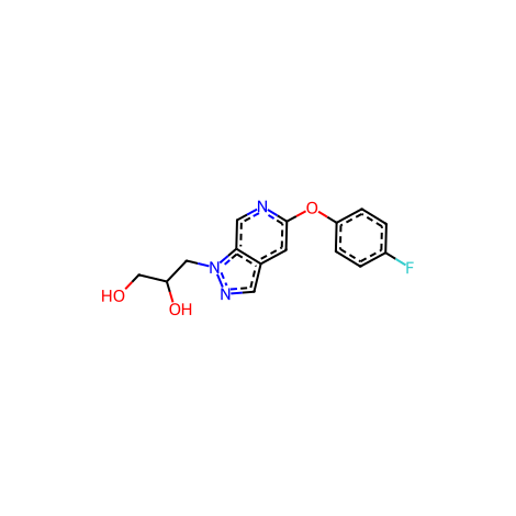 OCC(O)Cn1ncc2cc(Oc3ccc(F)cc3)ncc21